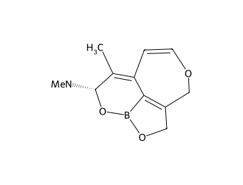 CN[C@H]1OB2OCC3=C2C(=C1C)C=COC3